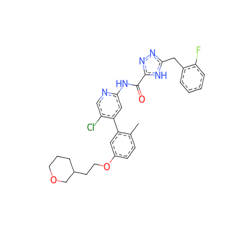 Cc1ccc(OCCC2CCCOC2)cc1-c1cc(NC(=O)c2nnc(Cc3ccccc3F)[nH]2)ncc1Cl